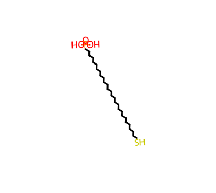 O=P(O)(O)CCCCCCCCCCCCCCCCCCCCCCCCCCCCS